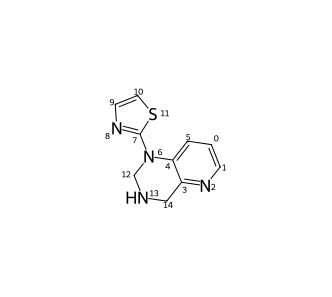 c1cnc2c(c1)N(c1nccs1)CNC2